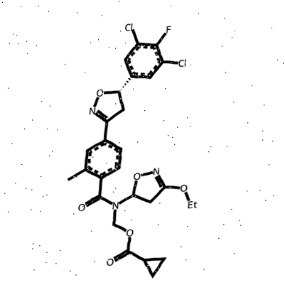 CCOC1=NOC(N(COC(=O)C2CC2)C(=O)c2ccc(C3=NO[C@H](c4cc(Cl)c(F)c(Cl)c4)C3)cc2C)C1